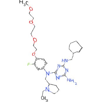 CCN1CCCC1CN(c1ccc(OCCOCCOCCOC)c(F)c1)c1nc(N)nc(NCC2CCCCC2)n1